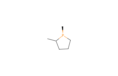 CC1CCC[P@]1C